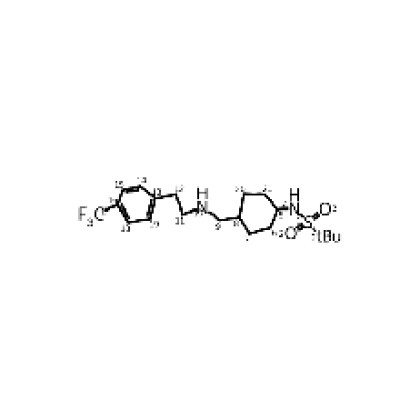 CC(C)(C)S(=O)(=O)NC1CCC(CNCCc2ccc(C(F)(F)F)cc2)CC1